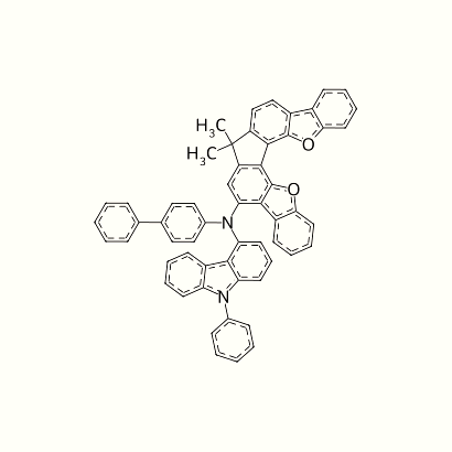 CC1(C)c2ccc3c(oc4ccccc43)c2-c2c1cc(N(c1ccc(-c3ccccc3)cc1)c1cccc3c1c1ccccc1n3-c1ccccc1)c1c2oc2ccccc21